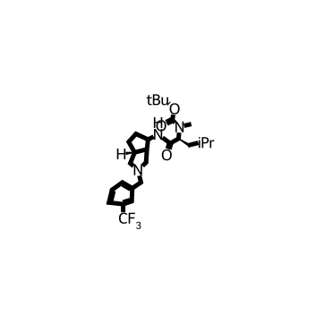 CC(C)C[C@@H](C(=O)NC1CC[C@H]2CN(Cc3cccc(C(F)(F)F)c3)CC12)N(C)C(=O)OC(C)(C)C